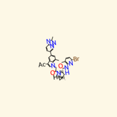 CC(=O)c1cn(CC(=O)N2[C@H](C(=O)Nc3nc(Br)ccc3C)C[C@@]3(C)C[C@@H]23)c2c(C)cc(-c3ccc4nc(C)nn4c3)cc12